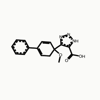 COC1(c2nn[nH]c2C(=O)O)C=CC(c2ccccc2)=CC1